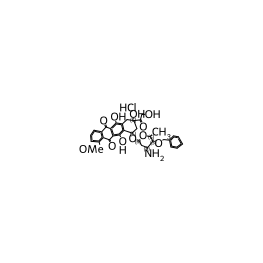 COc1cccc2c1C(=O)c1c(O)c3c(c(O)c1C2=O)C[C@@](O)(C(=O)CO)C[C@@H]3O[C@H]1C[C@H](N)[C@H](OCc2ccccc2)[C@H](C)O1.Cl